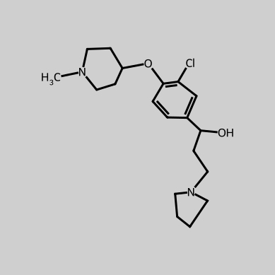 CN1CCC(Oc2ccc(C(O)CCN3CCCC3)cc2Cl)CC1